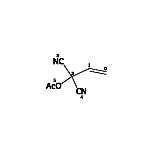 C=CC(C#N)(C#N)OC(C)=O